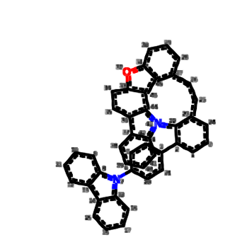 c1cc(-c2ccc(-n3c4ccccc4c4ccccc43)cc2)c2c(c1)ccc1cccc3oc4ccc5c6ccccc6n2c5c4c13